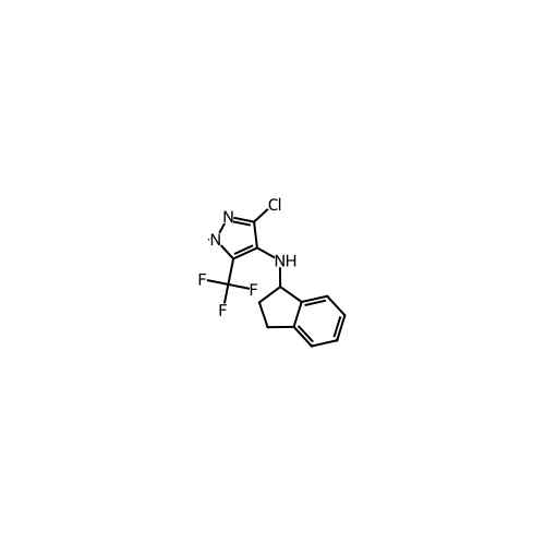 FC(F)(F)C1=C(NC2CCc3ccccc32)C(Cl)=N[N]1